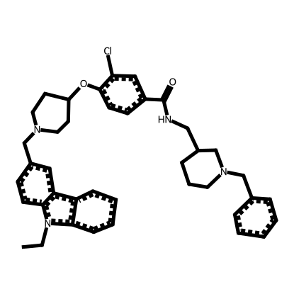 CCn1c2ccccc2c2cc(CN3CCC(Oc4ccc(C(=O)NCC5CCCN(Cc6ccccc6)C5)cc4Cl)CC3)ccc21